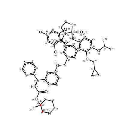 O=C(N[C@@H](c1ccccc1)c1cccc(OCc2cccc(C(=O)N3CCS[C@]3(C(=O)O)[C@@H](Cc3c(Cl)c[n+]([O-])cc3Cl)c3ccc(OC(F)F)c(OCC4CC4)c3)c2)c1)O[C@H]1CN2CCC1CC2